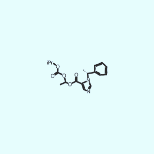 CC(C)OC(=O)OC(C)OC(=O)c1cncn1[C@H](C)c1ccccc1